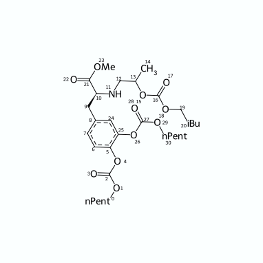 CCCCCOC(=O)Oc1ccc(C[C@H](NCC(C)OC(=O)OCC(C)CC)C(=O)OC)cc1OC(=O)OCCCCC